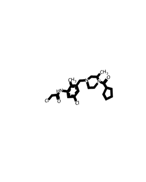 Cc1c(CN2CCN(C(=O)C3CCCC3)C(C)C2)cc(Cl)cc1NC(=O)CCl